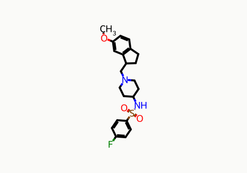 COc1ccc2c(c1)C(CN1CCC(NS(=O)(=O)c3ccc(F)cc3)CC1)CC2